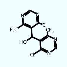 OC(c1c(Cl)ncnc1C(F)(F)F)c1c(Cl)ncnc1C(F)(F)F